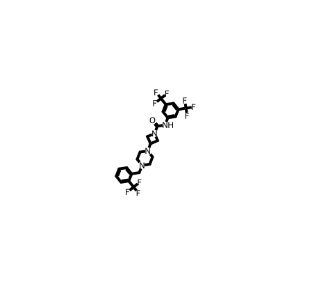 O=C(Nc1cc(C(F)(F)F)cc(C(F)(F)F)c1)N1CC(N2CCN(Cc3ccccc3C(F)(F)F)CC2)C1